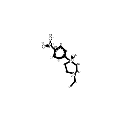 CCN1CCP(=O)(c2ccc([N+](=O)[O-])cc2)CC1